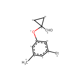 CCc1cc(C)cc(OC2(C=O)CC2)c1